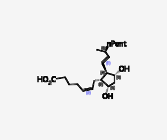 CCCCC[C@H](C)/C=C/[C@@H]1[C@@H](C/C=C\CCCC(=O)O)[C@@H](O)C[C@H]1O